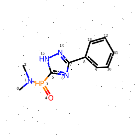 CN(C)[PH](=O)c1nc(-c2ccccc2)n[nH]1